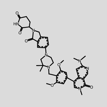 COc1cc(-c2cn(C)c(=O)c3cnc(N(C)C)cc23)cc(OC)c1CN1CCN(c2ccc3c(c2)C(=O)N(C2CCC(=O)NC2=O)C3)CC1(C)C